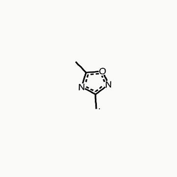 [CH2]c1noc(C)n1